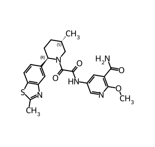 COc1ncc(NC(=O)C(=O)N2C[C@@H](C)CC[C@@H]2c2ccc3sc(C)nc3c2)cc1C(N)=O